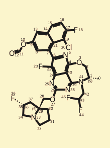 C[C@H]1COc2nc(-c3cc(OC=O)cc4ccc(F)c(Cl)c34)c(F)c3nc(OC[C@@]45CCCN4C[C@H](F)C5)nc(c23)N1CC(F)F